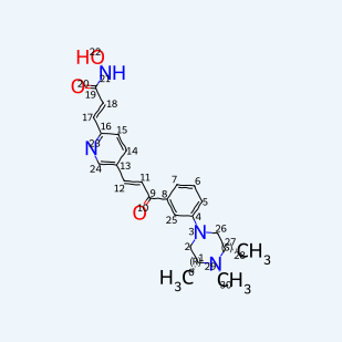 C[C@@H]1CN(c2cccc(C(=O)C=Cc3ccc(C=CC(=O)NO)nc3)c2)C[C@H](C)N1C